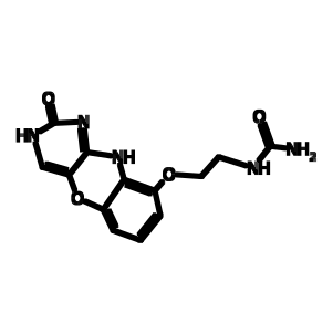 NC(=O)NCCOc1cccc2c1Nc1nc(=O)[nH]cc1O2